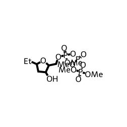 CCC1CC(O)C(COP(=O)(OC)OP(=O)(OC)OP(=O)(OC)OC)O1